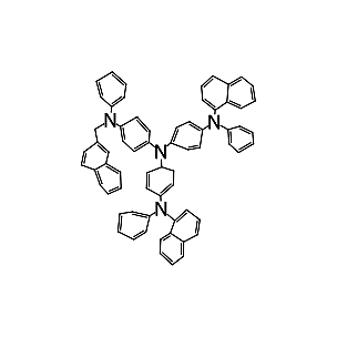 C1=CC(N(c2ccc(N(Cc3ccc4ccccc4c3)c3ccccc3)cc2)c2ccc(N(c3ccccc3)c3cccc4ccccc34)cc2)CC=C1N(c1ccccc1)c1cccc2ccccc12